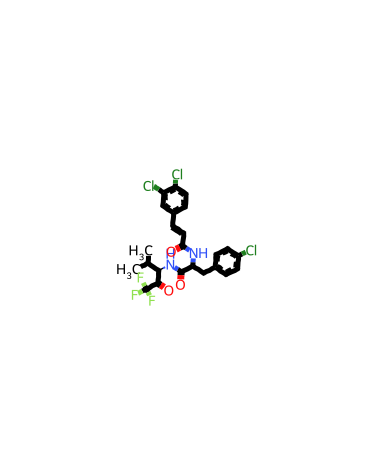 CC(C)[C@H](NC(=O)C(Cc1ccc(Cl)cc1)NC(=O)/C=C/c1ccc(Cl)c(Cl)c1)C(=O)C(F)(F)F